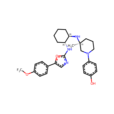 C[C@]1(N[C@@H]2CCCC[C@H]2Nc2ncc(-c3ccc(OC(F)(F)F)cc3)o2)CCCN(c2ccc(O)cc2)C1